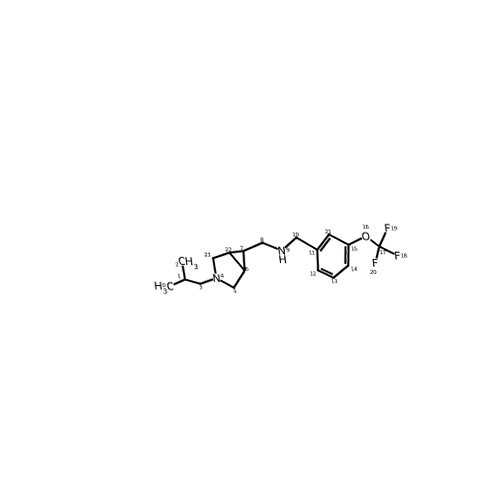 CC(C)CN1CC2C(CNCc3cccc(OC(F)(F)F)c3)C2C1